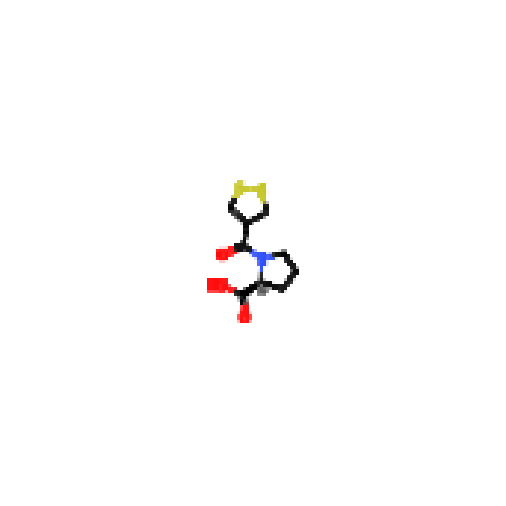 O=C(O)[C@@H]1CCCN1C(=O)C1CSSC1